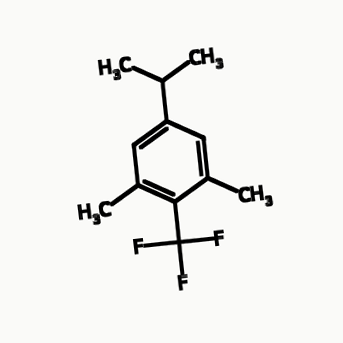 Cc1cc(C(C)C)cc(C)c1C(F)(F)F